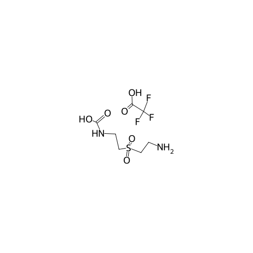 NCCS(=O)(=O)CCNC(=O)O.O=C(O)C(F)(F)F